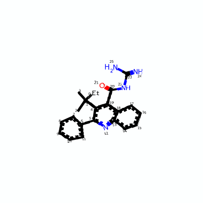 CCC(C)(C)c1c(-c2ccccc2)nc2ccccc2c1C(=O)NC(=N)N